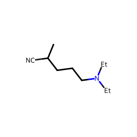 CCN(CC)CCCC(C)C#N